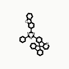 c1ccc(-c2nc(-c3ccc4c(c3)C3(c5ccccc5-c5ccccc53)c3cccnc3-4)nc(-c3ccc4c(c3)oc3ccccc34)n2)cc1